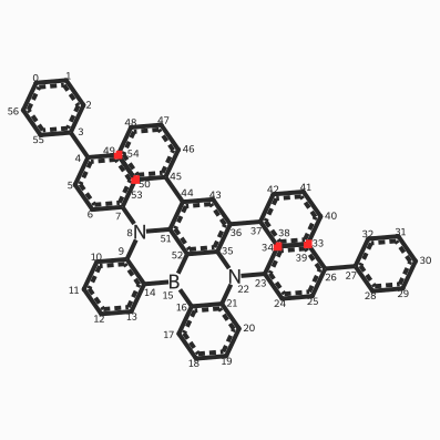 c1ccc(-c2ccc(N3c4ccccc4B4c5ccccc5N(c5ccc(-c6ccccc6)cc5)c5c(-c6ccccc6)cc(-c6ccccc6)c3c54)cc2)cc1